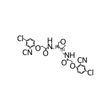 N#Cc1cc(Cl)ccc1OCC(=O)NC[C@@H]1COC[C@@H]1CNC(=O)COc1ccc(Cl)cc1C#N